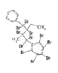 CCC(Br)(C(Br)(Br)c1ccccc1)C(C)(Br)C(Br)(Br)c1c(Br)c(Br)c(Br)c(Br)c1Br